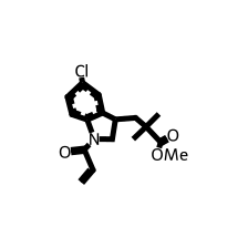 C=CC(=O)N1CC(CC(C)(C)C(=O)OC)c2cc(Cl)ccc21